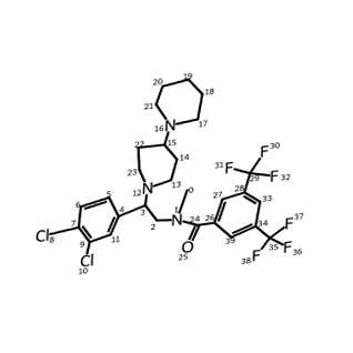 CN(CC(c1ccc(Cl)c(Cl)c1)N1CCC(N2CCCCC2)CC1)C(=O)c1cc(C(F)(F)F)cc(C(F)(F)F)c1